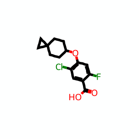 O=C(O)c1cc(Cl)c(OC2CCC3(CC2)CC3)cc1F